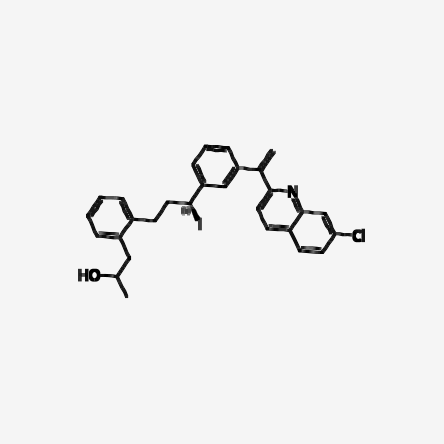 C=C(c1cccc([C@@H](I)CCc2ccccc2CC(C)O)c1)c1ccc2ccc(Cl)cc2n1